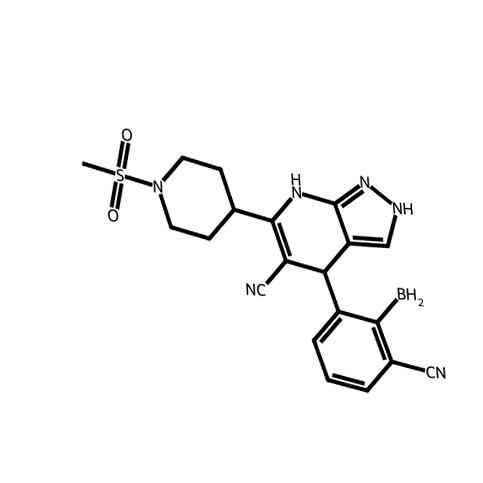 Bc1c(C#N)cccc1C1C(C#N)=C(C2CCN(S(C)(=O)=O)CC2)Nc2n[nH]cc21